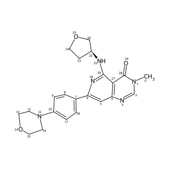 Cn1cnc2cc(-c3ccc(N4CCOCC4)cc3)nc(N[C@H]3CCOC3)c2c1=O